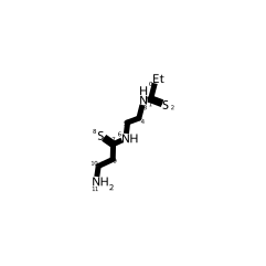 CCC(=S)NCCNC(=S)CCN